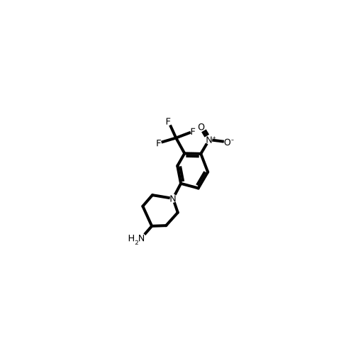 NC1CCN(c2ccc([N+](=O)[O-])c(C(F)(F)F)c2)CC1